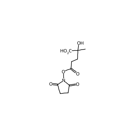 CC(O)(CCC(=O)ON1C(=O)CCC1=O)C(=O)O